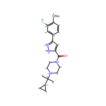 COc1ccc(-c2cc(C(=O)N3CCN(C(C)(C)C4CC4)CC3)[nH]n2)cc1F